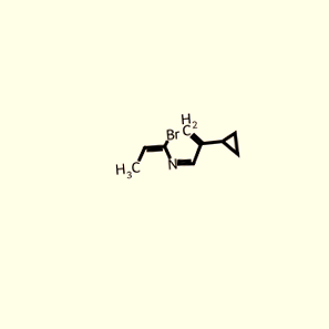 C=C(/C=N\C(Br)=C/C)C1CC1